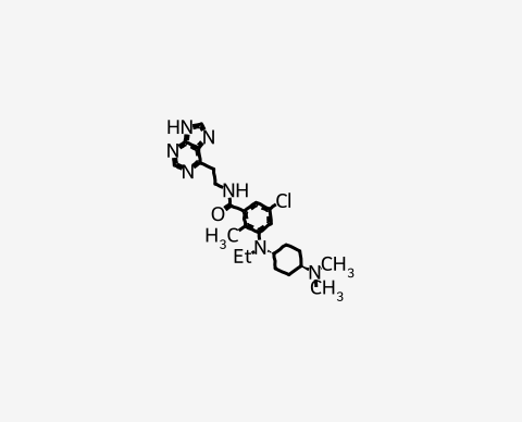 CCN(c1cc(Cl)cc(C(=O)NCCc2ncnc3[nH]cnc23)c1C)[C@H]1CC[C@H](N(C)C)CC1